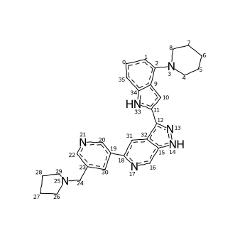 c1cc(N2CCCCC2)c2cc(-c3n[nH]c4cnc(-c5cncc(CN6CCCC6)c5)cc34)[nH]c2c1